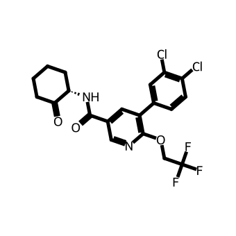 O=C(N[C@H]1CCCCC1=O)c1cnc(OCC(F)(F)F)c(-c2ccc(Cl)c(Cl)c2)c1